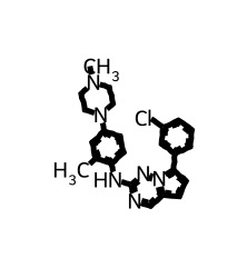 Cc1cc(N2CCN(C)CC2)ccc1Nc1ncc2ccc(-c3cccc(Cl)c3)n2n1